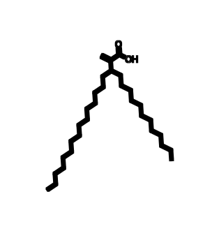 C=C(C(=O)O)C(CCCCCCCCCCCC)CCCCCCCCCCCCCCC